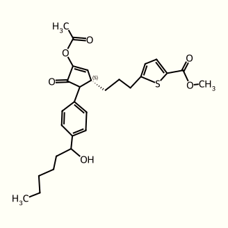 CCCCCC(O)c1ccc(C2C(=O)C(OC(C)=O)=C[C@@H]2CCCc2ccc(C(=O)OC)s2)cc1